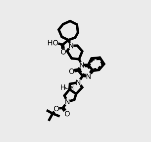 CC(C)(C)OC(=O)N1CC2CN(c3nc4ccccc4n(C4CCN(C5(C(=O)O)CCCCCCC5)CC4)c3=O)C[C@@H]2C1